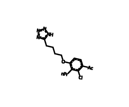 CCCc1c(OCCCCc2nnn[nH]2)ccc(C(C)=O)c1Cl